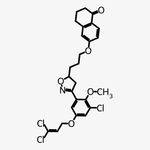 COc1c(Cl)cc(OCC=C(Cl)Cl)cc1C1=NOC(CCCOc2ccc3c(c2)CCCC3=O)C1